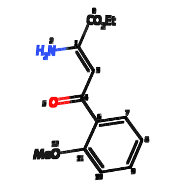 CCOC(=O)C(N)=CC(=O)c1ccccc1OC